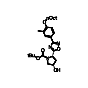 CCCCCCCCOc1ccc(-c2noc([C@@H]3C[C@H](O)CN3C(=O)OC(C)(C)C)n2)cc1C